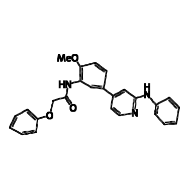 COc1ccc(-c2ccnc(Nc3ccccc3)c2)cc1NC(=O)COc1ccccc1